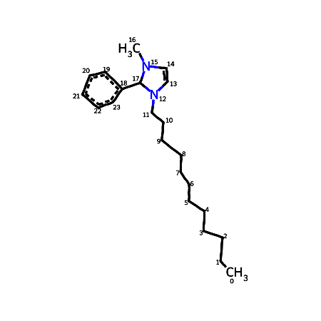 CCCCCCCCCCCCN1C=CN(C)C1c1ccccc1